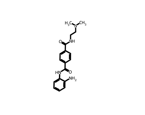 CN(C)CCNC(=O)c1ccc(C(=O)Nc2ccccc2N)cc1